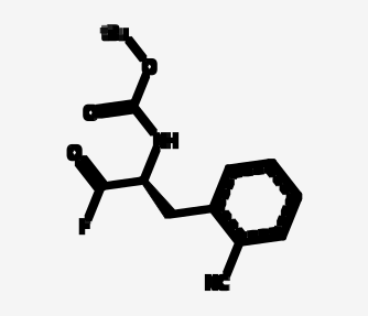 CC(C)(C)OC(=O)N[C@@H](Cc1ccccc1C#N)C(=O)F